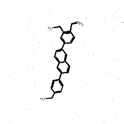 PCc1ccc(-c2ccc3cc(-c4ccc(CP)c(CP)c4)ccc3c2)cc1